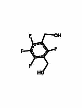 OCc1c(F)c(F)c(F)c(CO)c1F